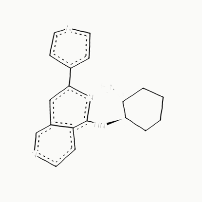 N[C@@H]1CCCC[C@H]1Nc1nc(-c2ccncc2)cc2cnccc12